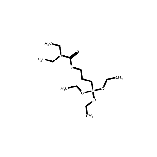 CCO[Si](CCCSC(=S)N(CC)CC)(OCC)OCC